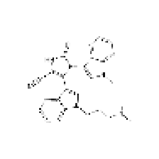 CNCCCn1cc(-c2c(C#N)[nH]c(=O)n2-c2cn(C)c3ccccc23)c2ccccc21